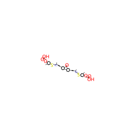 C/C(C#Cc1ccc2c(c1)C(=O)c1cc(C#C/C(C)=C/CSc3ccc(OCC(=O)O)c(C)c3)ccc1-2)=C\CSc1ccc(OCC(=O)O)c(C)c1